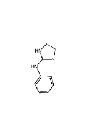 c1ccc(NC2NCCS2)cc1